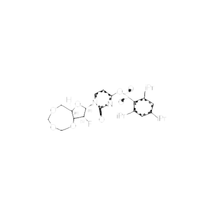 CC(C)c1cc(C(C)C)c(S(=O)(=O)Oc2ccn([C@@H]3O[C@@H]4COCOCOC4[C@@H]3F)c(=O)n2)c(C(C)C)c1